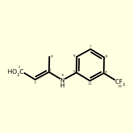 C/C(=C\C(=O)O)Nc1cccc(C(F)(F)F)c1